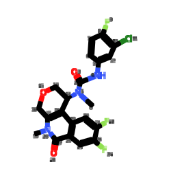 CN(C(=O)Nc1ccc(F)c(Cl)c1)[C@@H]1COCc2c1c1cc(F)c(F)cc1c(=O)n2C